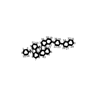 c1ccc(-n2c3ccccc3c3c(N(c4ccc5ccc(-c6ccc(-c7ccc8ccccc8c7)cc6)cc5c4)c4cccc5ccccc45)cccc32)cc1